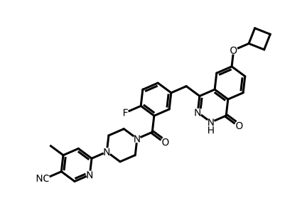 Cc1cc(N2CCN(C(=O)c3cc(Cc4n[nH]c(=O)c5ccc(OC6CCC6)cc45)ccc3F)CC2)ncc1C#N